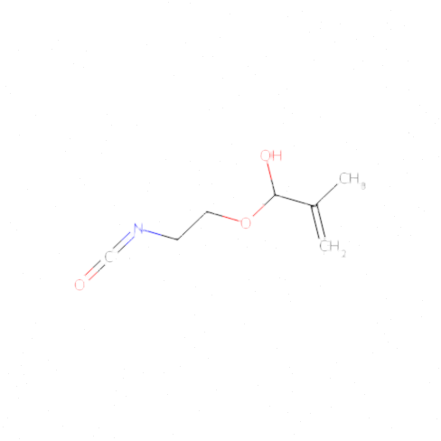 C=C(C)C(O)OCCN=C=O